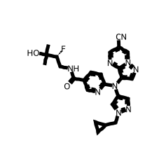 CC(C)(O)[C@H](F)CNC(=O)c1ccc(N(c2cnn(CC3CC3)c2)c2cnn3cc(C#N)cnc23)nc1